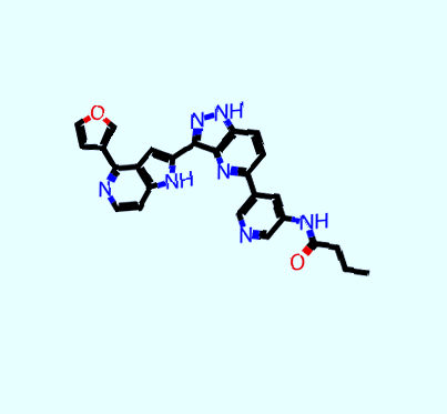 CCCC(=O)Nc1cncc(-c2ccc3[nH]nc(-c4cc5c(-c6ccoc6)nccc5[nH]4)c3n2)c1